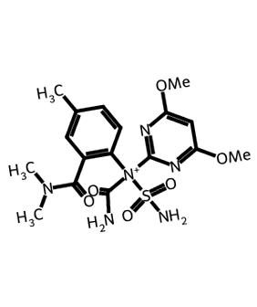 COc1cc(OC)nc([N+](C(N)=O)(c2ccc(C)cc2C(=O)N(C)C)S(N)(=O)=O)n1